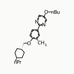 CCCCOc1cnc(-c2ccc(OC[C@H]3CC[C@H](CCC)CC3)c(C)c2)nc1